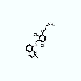 Cc1ccc2cccc(OCc3c(Cl)ccc(OCCN)c3Cl)c2n1